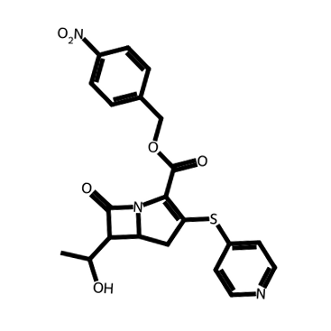 CC(O)C1C(=O)N2C(C(=O)OCc3ccc([N+](=O)[O-])cc3)=C(Sc3ccncc3)CC12